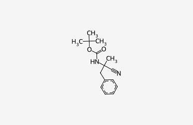 CC(C#N)(Cc1ccccc1)NC(=O)OC(C)(C)C